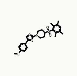 COc1ccc(-c2csc(N3CCC(S(=O)(=O)c4c(C)c(C)cc(C)c4C)CC3)n2)cc1